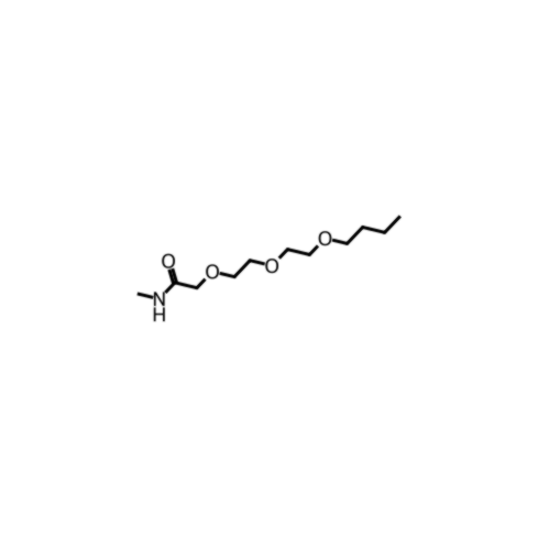 CCCCOCCOCCOCC(=O)NC